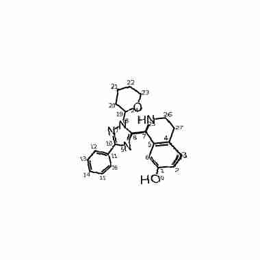 Oc1ccc2c(c1)C(c1nc(-c3ccccc3)nn1C1CCCCO1)NCC2